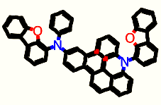 c1ccc(N(c2ccc3c(ccc4c3ccc3cccc(N(c5ccccc5)c5cccc6c5oc5ccccc56)c34)c2)c2cccc3c2oc2ccccc23)cc1